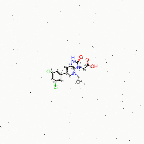 CCN1CC(c2cc(Cl)cc(Cl)c2)=Cc2[nH]c(=O)n(CC(=O)O)c21